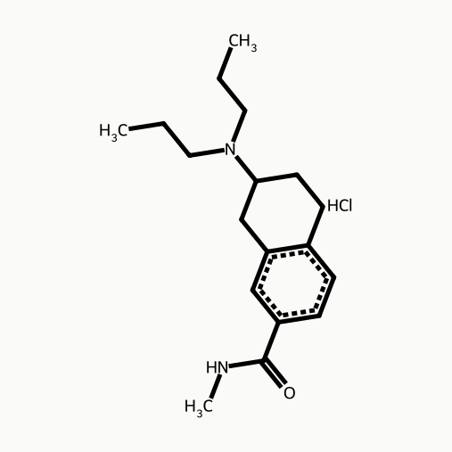 CCCN(CCC)C1CCc2ccc(C(=O)NC)cc2C1.Cl